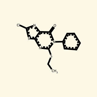 CCSc1nc2sc(Cl)nc2c(=O)n1-c1ccccc1